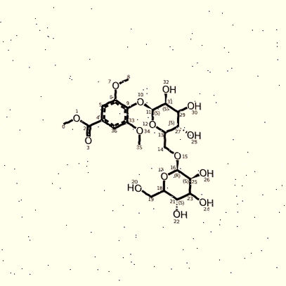 COC(=O)c1cc(OC)c(O[C@@H]2OC(CO[C@@H]3OC(CO)[C@@H](O)C(O)[C@@H]3O)[C@@H](O)C(O)[C@@H]2O)c(OC)c1